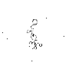 CON1C(=O)CC2(CCN(C(=O)OCc3ccccc3)CC2)C1=O